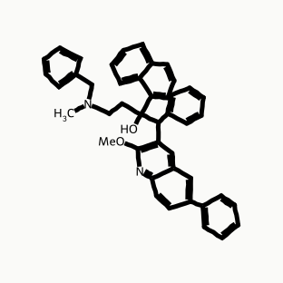 COc1nc2ccc(-c3ccccc3)cc2cc1C(c1ccccc1)C(O)(CCN(C)Cc1ccccc1)c1cccc2ccccc12